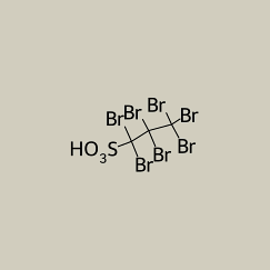 O=S(=O)(O)C(Br)(Br)C(Br)(Br)C(Br)(Br)Br